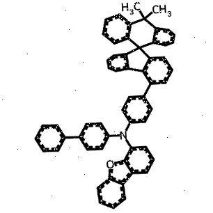 CC1(C)c2ccccc2C2(c3ccccc3-c3c(-c4ccc(N(c5ccc(-c6ccccc6)cc5)c5cccc6c5oc5ccccc56)cc4)cccc32)c2ccccc21